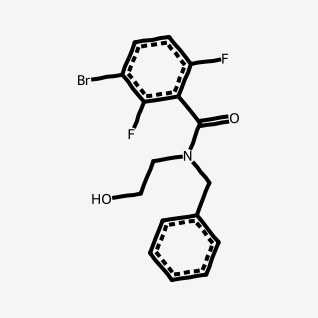 O=C(c1c(F)ccc(Br)c1F)N(CCO)Cc1ccccc1